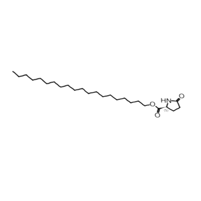 CCCCCCCCCCCCCCCCCCCCOC(=O)[C@@H]1CCC(=O)N1